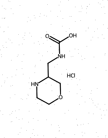 Cl.O=C(O)NCC1COCCN1